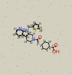 O=C(C[C@H]1CC[C@H](C(=O)O)CC1)N1CCc2c(n(Cc3ccc(F)s3)c3ncccc23)C1